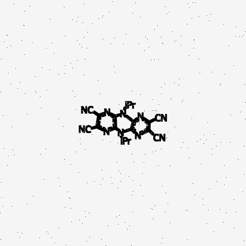 CC(C)N1c2nc(C#N)c(C#N)nc2N(C(C)C)c2nc(C#N)c(C#N)nc21